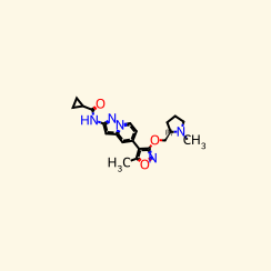 Cc1onc(OC[C@H]2CCCN2C)c1-c1ccn2nc(NC(=O)C3CC3)cc2c1